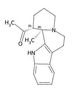 CC(=O)[C@@H]1CCCN2CCc3c([nH]c4ccccc34)[C@@]12C